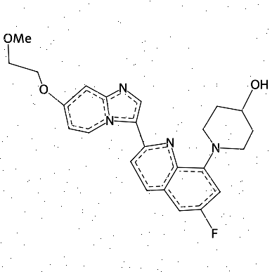 COCCOc1ccn2c(-c3ccc4cc(F)cc(N5CCC(O)CC5)c4n3)cnc2c1